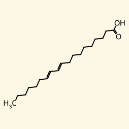 CCCCCCC=CC=CCCCCCCCCC(=O)O